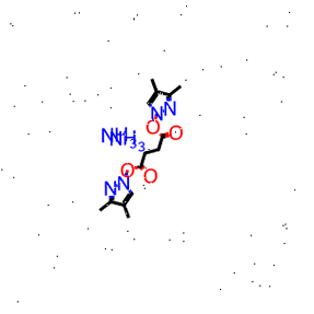 Cc1cn(OC(=O)CCC(=O)On2cc(C)c(C)n2)nc1C.N.N